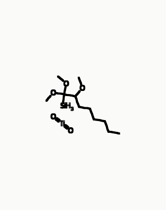 CCCCCCC(OC)C([SiH3])(OC)OC.[O]=[Ti]=[O]